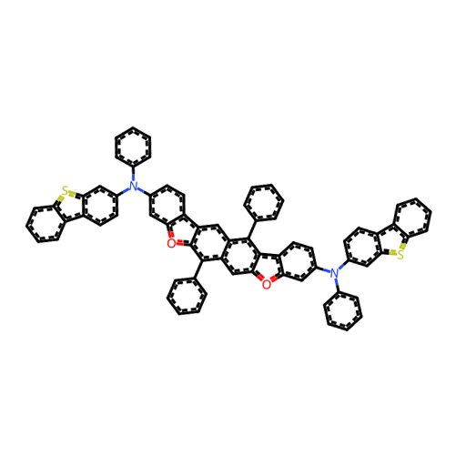 c1ccc(-c2c3cc4oc5cc(N(c6ccccc6)c6ccc7c(c6)sc6ccccc67)ccc5c4c(-c4ccccc4)c3cc3c2oc2cc(N(c4ccccc4)c4ccc5c(c4)sc4ccccc45)ccc23)cc1